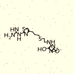 N=C(N)Nc1nc(CCCSCCNc2n[s+]([O-])nc2O)cs1